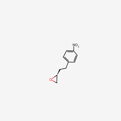 O=[N+]([O-])c1ccc(CC[C@H]2CO2)cc1